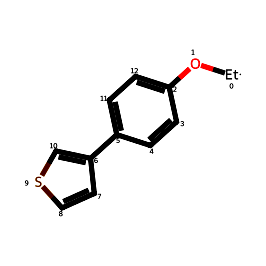 C[CH]Oc1ccc(-c2ccsc2)cc1